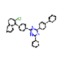 Clc1ccc2ccccc2c1-c1ccc(-c2nc(-c3ccccc3)nc(-c3ccc(-c4ccccc4)cc3)n2)cc1